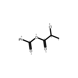 CC(C)C(=O)OC(=O)C(C)Cl